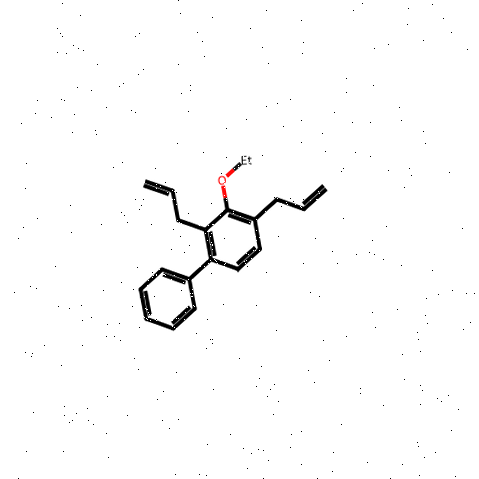 C=CCc1c[c]c(-c2ccccc2)c(CC=C)c1OCC